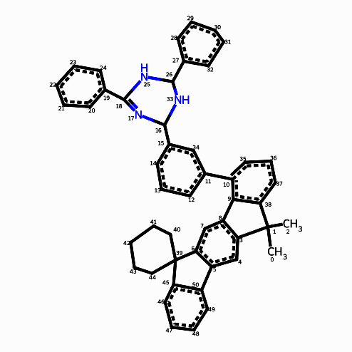 CC1(C)c2cc3c(cc2-c2c(-c4cccc(C5N=C(c6ccccc6)NC(c6ccccc6)N5)c4)cccc21)C1(CCCCC1)c1ccccc1-3